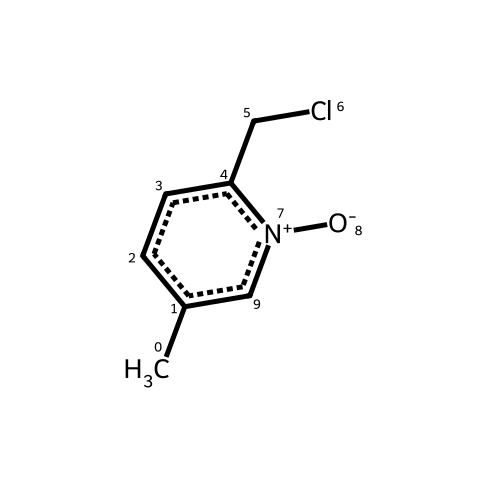 Cc1ccc(CCl)[n+]([O-])c1